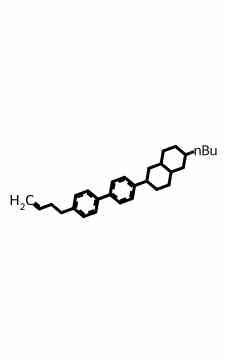 C=CCCc1ccc(-c2ccc(C3CCC4CC(CCCC)CCC4C3)cc2)cc1